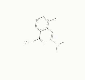 COC(=O)c1cccc(C)c1/C=C/N(C)C